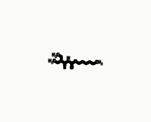 CCCCCCOC(=O)NC(=S)N(CC)CC